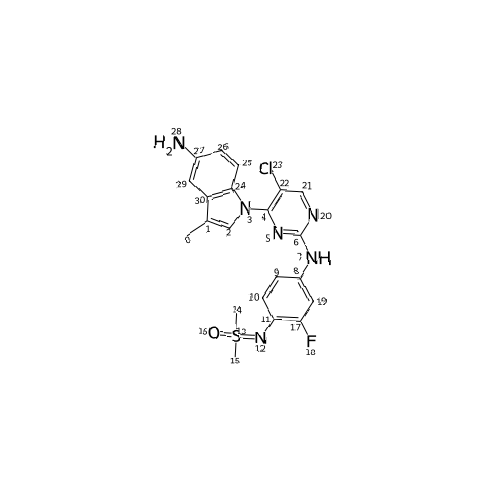 Cc1cn(-c2nc(Nc3ccc(N=S(C)(C)=O)c(F)c3)ncc2Cl)c2ccc(N)cc12